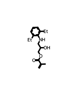 C=C(C)C(=O)OCC(O)CNc1c(CC)cccc1CC